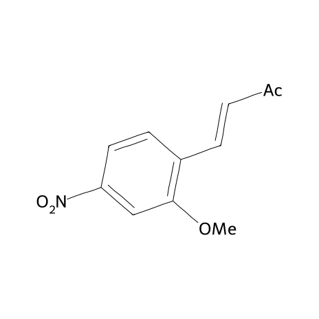 COc1cc([N+](=O)[O-])ccc1/C=C/C(C)=O